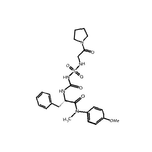 COc1ccc(N(C)C(=O)[C@H](Cc2ccccc2)NC(=O)NS(=O)(=O)NCC(=O)N2CCCC2)cc1